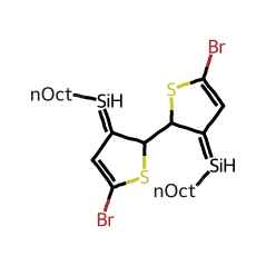 CCCCCCCC[SiH]=C1C=C(Br)SC1C1SC(Br)=CC1=[SiH]CCCCCCCC